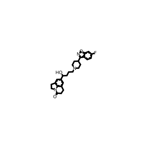 O=C1CCc2cc(C(O)CCCN3CCC(c4noc5cc(F)ccc45)CC3)cc3c2N1CC3